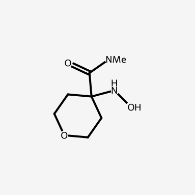 CNC(=O)C1(NO)CCOCC1